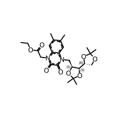 CCOC(=O)Cn1c(=O)c(=O)n(C[C@@H]2OC(C)(C)O[C@@H]2[C@H]2COC(C)(C)O2)c2cc(C)c(C)cc21